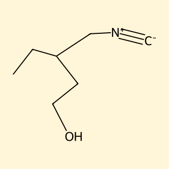 [C-]#[N+]CC(CC)CCO